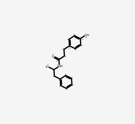 CCC(Cc1ccccc1)NC(=O)CCc1ccc(O)cc1